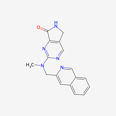 CN(Cc1cc2ccccc2cn1)c1ncc2c(n1)C(=O)NC2